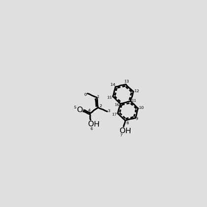 CC=C(C)C(=O)O.Oc1ccc2ccccc2c1